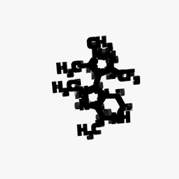 Cc1c(-c2c3c(nn2C)[C@H](C)NCC3)c(C(F)(F)F)nn1C